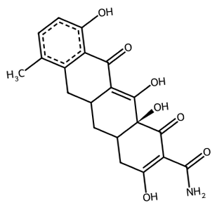 Cc1ccc(O)c2c1CC1CC3CC(O)=C(C(N)=O)C(=O)[C@@]3(O)C(O)=C1C2=O